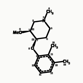 CO[C@H]1CN(C)CC[C@H]1Oc1cccc(C)c1C